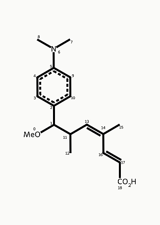 COC(c1ccc(N(C)C)cc1)C(C)C=C(C)C=CC(=O)O